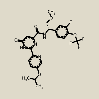 COC[C@@H](NC(=O)c1cc(=O)[nH]c(-c2ccc(OC(C)C)cn2)n1)c1ccc(OC(F)(F)F)c(F)c1